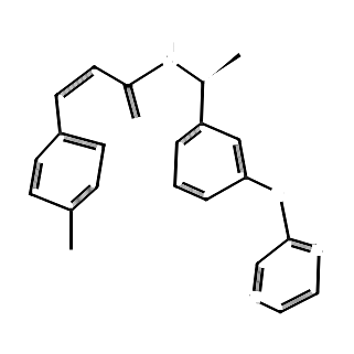 Cc1ccc(/C=C\C(=O)N[C@@H](C)c2cccc(Oc3cnccn3)c2)cc1